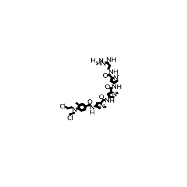 Cc1cc(C(=O)Nc2cc(C(=O)Nc3cc(C(=O)Nc4cc(C(=O)NCCC(=N)NN)n(C)c4)n(C)c3)n(C)c2)ccc1N(CCCl)CCCl